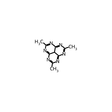 CC1=NC2=NC(C)=NC3=NC(C)=NC(=N1)C23